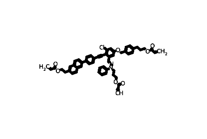 C#CC(=O)OCCCN(/N=C/c1cc(OCc2ccc(CCCOC(=O)C=C)cc2)cc(Cl)c1C#Cc1ccc(-c2ccc3cc(CCOC(=O)C=C)ccc3c2)cc1)c1ccccc1